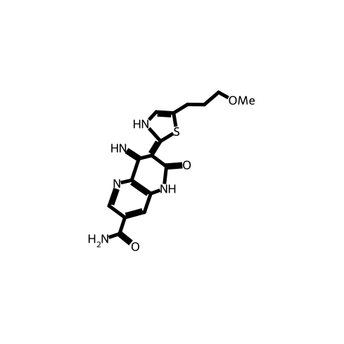 COCCCC1=CN/C(=C2\C(=N)c3ncc(C(N)=O)cc3NC2=O)S1